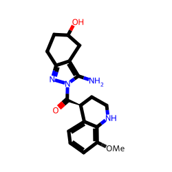 COc1cccc2c1NCC[C@@H]2C(=O)n1nc2c(c1N)CC(O)CC2